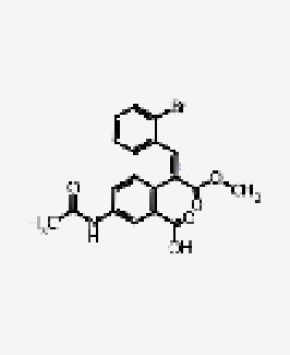 COC(=O)/C(=C/c1ccccc1Br)c1ccc(NC(C)=O)cc1C(=O)O